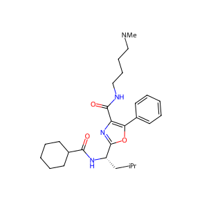 CNCCCCNC(=O)c1nc([C@H](CC(C)C)NC(=O)C2CCCCC2)oc1-c1ccccc1